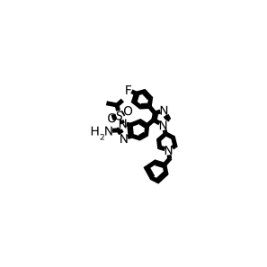 CC(C)S(=O)(=O)n1c(N)nc2ccc(-c3c(-c4ccc(F)cc4)ncn3C3CCN(Cc4ccccc4)CC3)cc21